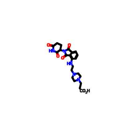 O=C(O)CCN1CCN(CCNc2cccc3c2C(=O)N(C2CCC(=O)NC2=O)C3=O)CC1